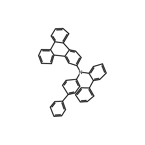 c1ccc(-c2ccc(N(c3ccc4c5ccccc5c5ccccc5c4c3)c3ccccc3-c3ccccc3)cc2)cc1